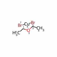 CCOCC.[Br][Cu][Br]